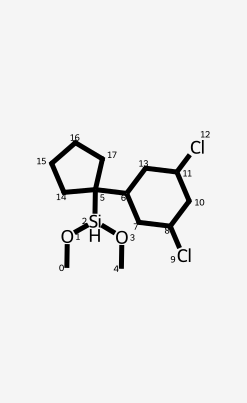 CO[SiH](OC)C1(C2CC(Cl)CC(Cl)C2)CCCC1